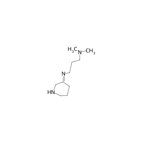 CN(C)CCCN=C1CCCNC1